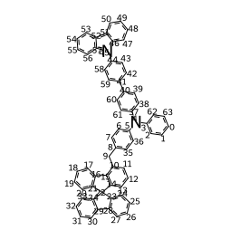 c1ccc(N(c2ccc(Cc3cccc4c3-c3ccccc3C43c4ccccc4-c4ccccc43)cc2)c2ccc(-c3ccc(-n4c5ccccc5c5ccccc54)cc3)cc2)cc1